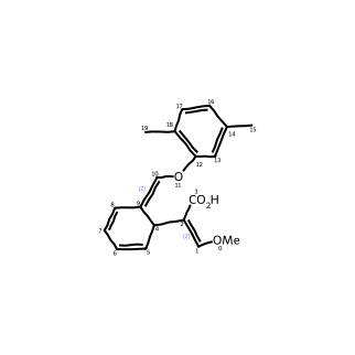 CO/C=C(\C(=O)O)C1C=CC=C/C1=C/Oc1cc(C)ccc1C